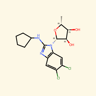 C[C@H]1O[C@@H](n2c(NC3CCCC3)nc3cc(Cl)c(Cl)cc32)[C@H](O)[C@@H]1O